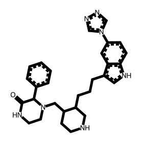 O=C1NCCN(CC2CCNCC2CCCc2c[nH]c3ccc(-n4cnnc4)cc23)C1c1ccccc1